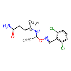 NC(=O)CC[C@H](NC(C=O)ON=Cc1c(Cl)cccc1Cl)C(=O)O